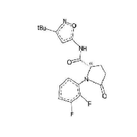 CC(C)(C)c1cc(NC(=O)[C@@H]2CCC(=O)N2c2cccc(F)c2F)on1